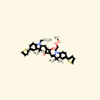 CCOOCCN1C(=CC2=C(O)/C(=C/C3=[N+](CC(=O)OCC)c4ccc(C5CC=CS5)cc4C3(C)C)C2=O)C(C)(C)c2cc(-c3cccs3)ccc21